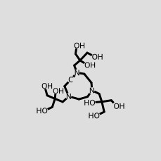 OCC(O)(CO)CN1CCN(CC(O)(CO)CO)CCN(CC(O)(CO)CO)CC1